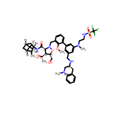 COc1c(CN2O[C@@H](CO)[C@@H]([C@H](C)O)[C@H]2C(=O)N[C@H]2C[C@H]3C[C@@H]([C@@H]2C)C3(C)C)cccc1-c1cc(CN[C@@H](Cc2ccccc2)CN(C)C)cc(N(C)CCNS(=O)(=O)C(F)(F)F)c1